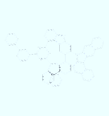 c1ccc(-c2cccc(-c3nc(-c4ccc5ccccc5c4)nc(-c4cccc5oc6cc(-n7c8cc9ccccc9cc8c8c9ccccc9ccc87)c(-c7cccc(-c8ccccc8)c7)cc6c45)n3)c2)cc1